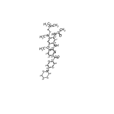 COc1cc(N(C)CCN(C)C)c(NC(C)=O)cc1Nc1nccc(C(=O)c2ccc(N3CCCCC3)cc2)n1